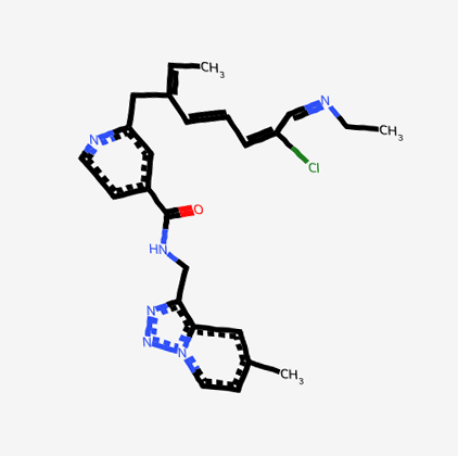 C\C=C(/C=C/C=C(Cl)\C=N/CC)Cc1cc(C(=O)NCc2nnn3ccc(C)cc23)ccn1